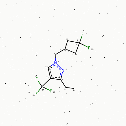 CCc1nn(CC2CC(F)(F)C2)cc1C(F)(F)F